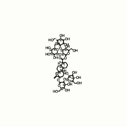 C=C1C[C@@]23CC[C@H]4[C@@](C)(CCC[C@@]4(C)C(=O)O[C@@H]4O[C@H](CO)[C@@H](O)[C@H](O[C@@H]5O[C@H](CO)[C@@H](O)[C@H](O)[C@H]5O)[C@H]4O[C@@H]4O[C@H](CO)[C@@H](O)[C@H](O)[C@H]4O)[C@@H]2CC[C@]1(O[C@@H]1O[C@H](CO)[C@@H](O)[C@H](O)[C@H]1O[C@@H]1O[C@H](CO)[C@@H](O)[C@H](O)[C@H]1O)C3